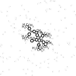 CC(C)(C)c1ccc(N2B3c4sc5cc6c(cc5c4N(c4ccc(C(C)(C)C)cc4)c4cc5c(oc7ccccc75)c(c43)-c3cc4c(cc32)C(C)(C)c2ccc(N(c3ccc(C(C)(C)C)cc3)c3ccc(C(C)(C)C)cc3)cc2-4)C(C)(C)CCC6(C)C)cc1